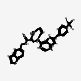 O=C(NCc1ccc2sccc2c1)[C@@H]1CN(c2ncnc3cc(-c4ccc(C(F)(F)F)cc4)sc23)CCN1